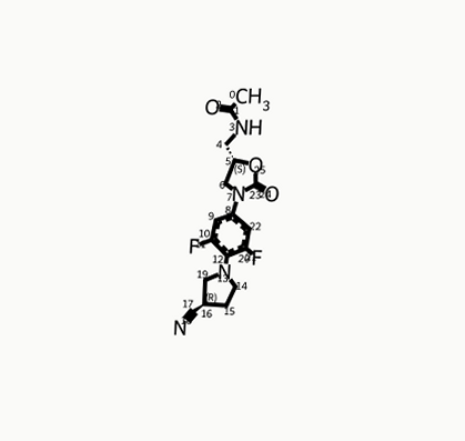 CC(=O)NC[C@H]1CN(c2cc(F)c(N3CC[C@@H](C#N)C3)c(F)c2)C(=O)O1